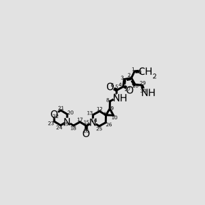 C=Cc1cc(C(=O)NCC2CC23CCN(C(=O)CCN2CCOCC2)CC3)oc1C=N